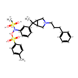 Cc1ccc(S(=O)(=O)ON(c2cccc(C3(C)C4CN(CCCc5ccccc5)CC43)c2)S(C)(=O)=O)cc1